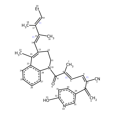 C=C(/C(C#N)=C\C=C(/C)C(=O)N1CCC(/C=C(C)/C(C)=C/CC)=C(C)c2ccccc21)c1ccc(O)nc1